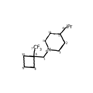 CC(C)C1CCN(CC2(C(F)(F)F)CCC2)CC1